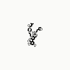 COc1cc(OC)c(Cl)c(-c2cc3cnc(NCCC4CCOC4)nc3n(CCCN3CCN(C(=O)C=C(C)C)CC3)c2=O)c1